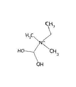 CC[N+](C)(C)C(O)O